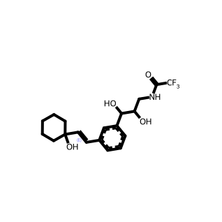 O=C(NCC(O)C(O)c1cccc(/C=C/C2(O)CCCCC2)c1)C(F)(F)F